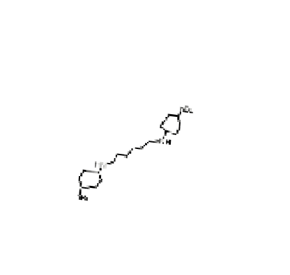 CCCCC1CCC(NCCCCCCNC2CCC(CCCC)CC2)CC1